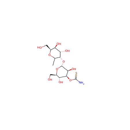 CC1O[C@@H](CO)[C@@H](O)[C@H](O)[C@@H]1O[C@H]1O[C@H](CO)[C@@H](O)[C@H](OC(N)=S)[C@@H]1O